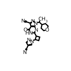 CC(C1CCOCC1)n1nc(C#N)c2c(=O)[nH]c(C3CCC3n3cc(C#N)cn3)nc21